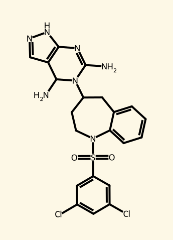 NC1=Nc2[nH]ncc2C(N)N1C1CCN(S(=O)(=O)c2cc(Cl)cc(Cl)c2)c2ccccc2C1